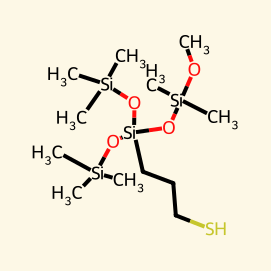 CO[Si](C)(C)O[Si](CCCS)(O[Si](C)(C)C)O[Si](C)(C)C